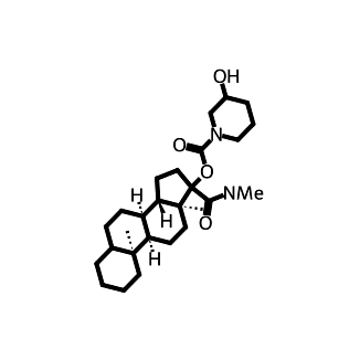 CNC(=O)C1(OC(=O)N2CCCC(O)C2)CC[C@H]2[C@@H]3CCC4CCCC[C@]4(C)[C@@H]3CC[C@@]21C